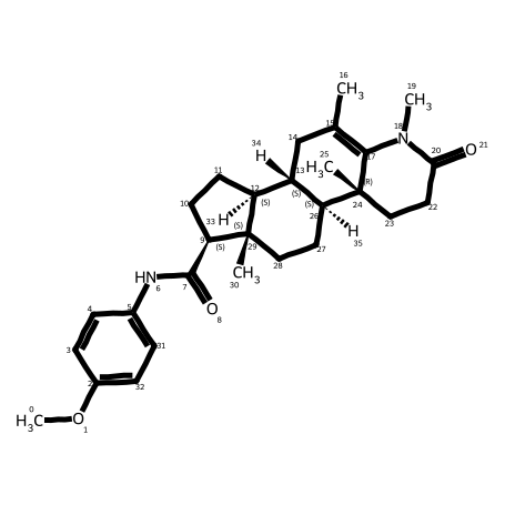 COc1ccc(NC(=O)[C@H]2CC[C@H]3[C@@H]4CC(C)=C5N(C)C(=O)CC[C@]5(C)[C@H]4CC[C@]23C)cc1